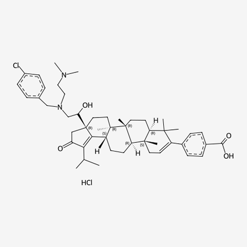 CC(C)C1=C2[C@H]3CC[C@@H]4[C@@]5(C)CC=C(c6ccc(C(=O)O)cc6)C(C)(C)[C@@H]5CC[C@@]4(C)[C@]3(C)CC[C@@]2(C(O)CN(CCN(C)C)Cc2ccc(Cl)cc2)CC1=O.Cl